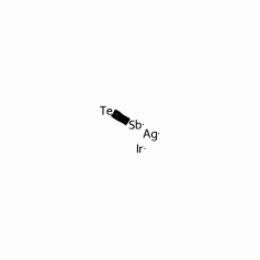 [Ag].[Ir].[Sb]=[Te]